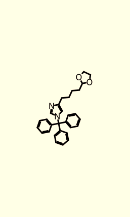 c1ccc(C(c2ccccc2)(c2ccccc2)n2cnc(CCCCC3OCCO3)c2)cc1